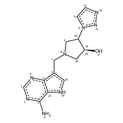 Nc1ncnc2c(CN3CC(n4ccnn4)[C@@H](O)C3)c[nH]c12